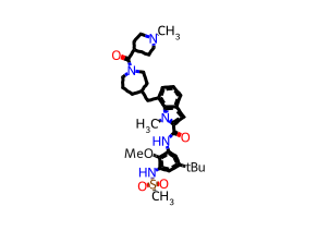 COc1c(NC(=O)c2cc3cccc(CC4CCCN(C(=O)C5CCN(C)CC5)CC4)c3n2C)cc(C(C)(C)C)cc1NS(C)(=O)=O